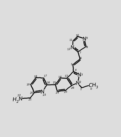 CCn1nc(C=Cc2cnccn2)c2cc(-c3cccc(CN)n3)ccc21